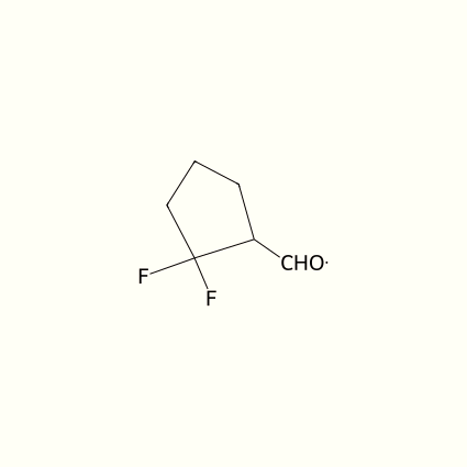 O=[C]C1CCCC1(F)F